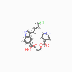 CCOC(=O)C1CCNCC1.O=C(O)c1ccc2[nH]cc(CCCCCl)c2c1